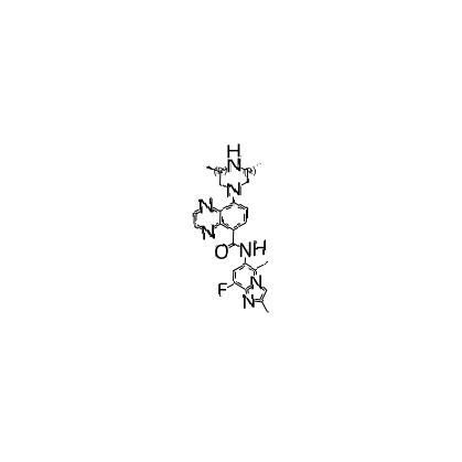 Cc1cn2c(C)c(NC(=O)c3ccc(N4C[C@@H](C)N[C@H](C)C4)c4nccnc34)cc(F)c2n1